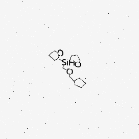 C1CCC(COC[SiH](C2CCCO2)C2CCCO2)C1